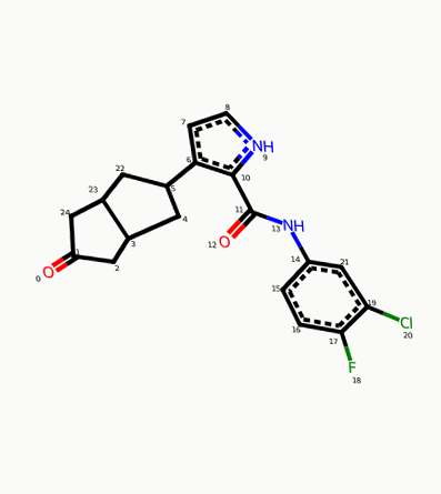 O=C1CC2CC(c3cc[nH]c3C(=O)Nc3ccc(F)c(Cl)c3)CC2C1